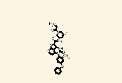 C=CC(=O)N1C[C@H](F)C[C@@H](NC(=O)C2Sc3nccc4c3C2NC(=O)N4c2ccc(Oc3ccccc3)cc2C)C1